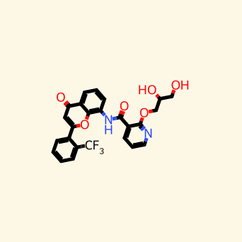 O=C(Nc1cccc2c(=O)cc(-c3ccccc3C(F)(F)F)oc12)c1cccnc1OCC(O)CO